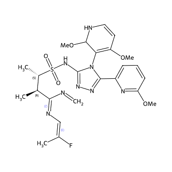 C=N/C(=N\C=C(/C)F)[C@@H](C)[C@H](C)S(=O)(=O)Nc1nnc(-c2cccc(OC)n2)n1C1=C(OC)C=CNC1OC